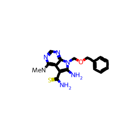 CNc1ncnc2c1c(C(N)=S)c(N)n2COCc1ccccc1